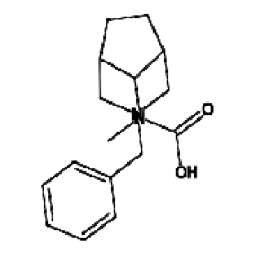 CN(C(=O)O)C1C2CCC1CN(Cc1ccccc1)C2